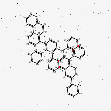 c1ccc(-c2ccc3c(-c4ccccc4)c(N(c4ccccc4)c4ccc(-c5cccc6c5ccc5ccccc56)c(-c5ccccc5)c4-c4ccccc4)ccc3c2)cc1